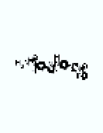 C[C@@H](N)C(=O)Nc1ccc(-c2ccnc(Nc3ccc(N4CCN(C(=O)[C@H]5CCCN5)CC4)cc3)n2)cc1